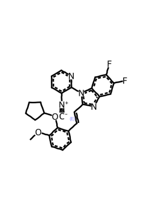 [C-]#[N+]c1cccnc1-n1c(/C=C/c2cccc(OC)c2OC2CCCC2)nc2cc(F)c(F)cc21